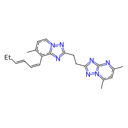 CC/C=C/C=C\c1c(C)ccn2nc(CCc3nc4nc(C)cc(C)n4n3)nc12